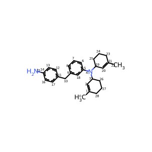 CC1=CC(N(c2cccc(Cc3ccc(N)cc3)c2)C2C=C(C)CCC2)CCC1